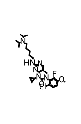 COc1ccc(Cl)c(N2Cc3cnc(NCCCCCN(C(C)C)C(C)C)nc3N(C3CC3)C2=O)c1F